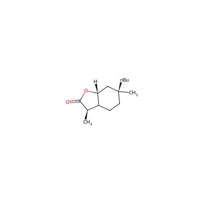 CCCC[C@@]1(C)CCC2[C@@H](C1)OC(=O)[C@@H]2C